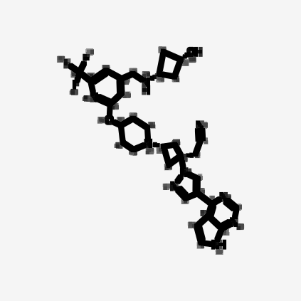 N#CC[C@]1(n2cc(-c3ncnc4[nH]ccc34)cn2)C[C@H](N2CCC(Oc3cc(CN[C@H]4C[C@@H](O)C4)cc(C(F)(F)F)n3)CC2)C1